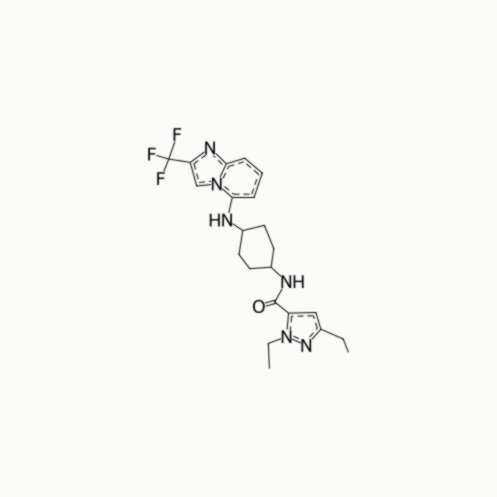 CCc1cc(C(=O)NC2CCC(Nc3cccc4nc(C(F)(F)F)cn34)CC2)n(CC)n1